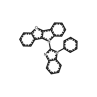 c1ccc(-n2c(-n3c4ccccc4c4oc5ccccc5c43)nc3ccccc32)cc1